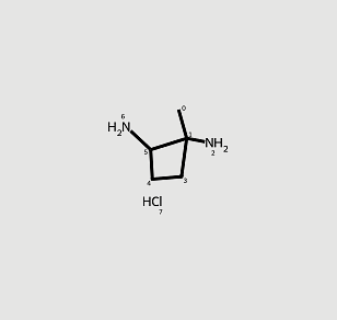 CC1(N)CCC1N.Cl